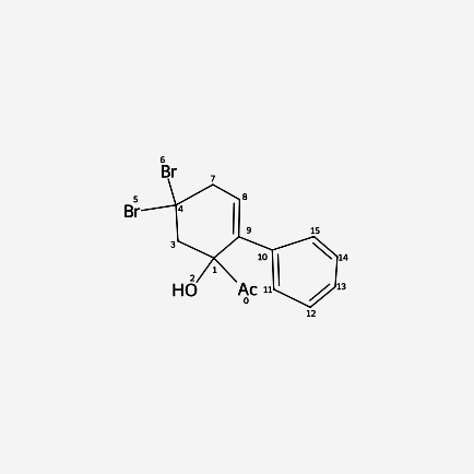 CC(=O)C1(O)CC(Br)(Br)CC=C1c1ccccc1